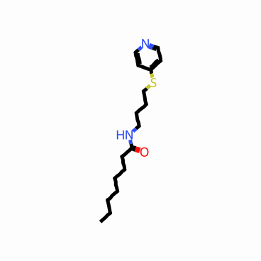 CCCCCCCC(=O)NCCCCSc1ccncc1